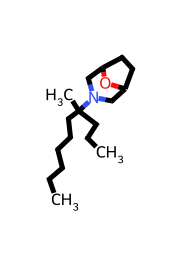 CCCCCCC(C)(CCC)N1CC2CCC(C1)O2